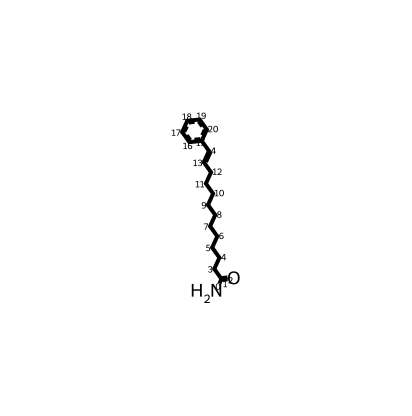 NC(=O)CCCCCCCCCCC=Cc1ccccc1